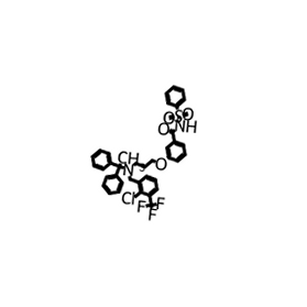 CC(c1ccccc1)(c1ccccc1)N(CCCOc1cccc(C(=O)NS(=O)(=O)c2ccccc2)c1)Cc1cccc(C(F)(F)F)c1Cl